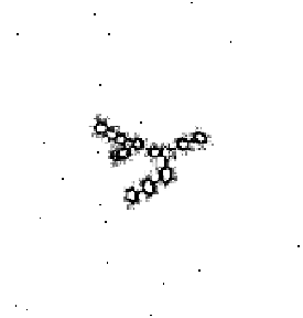 c1ccc(-c2ccc(-c3cccc(-c4nc(-c5ccc(-c6ccccc6)cc5)nc5cc(-c6ccc7c(c6)C6(c8cc9c(cc8-7)Oc7ccccc7O9)C7CC8CC(C7)CC6C8)ccc45)c3)cc2)cc1